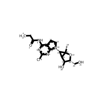 CCC(=O)Nc1nc(Cl)nc2c1ccn2[C@H]1C2C(O)[C@@H](CO)OC21F